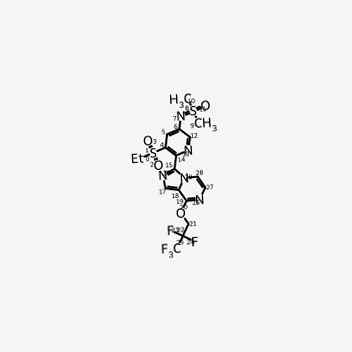 CCS(=O)(=O)c1cc(N=S(C)(C)=O)cnc1-c1ncc2c(OCC(F)(F)C(F)(F)F)nccn12